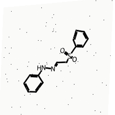 O=S(=O)(CC=NNc1ccccc1)c1ccccc1